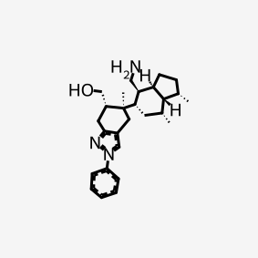 C[C@@H]1C[C@H]([C@@]2(C)Cc3cn(-c4ccccc4)nc3C[C@@H]2CO)[C@@H](CN)[C@H]2CC[C@H](C)[C@@H]21